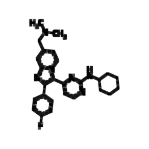 CN(C)Cc1ccn2c(-c3ccnc(NC4CCCCC4)n3)c(-c3ccc(F)cc3)nc2c1